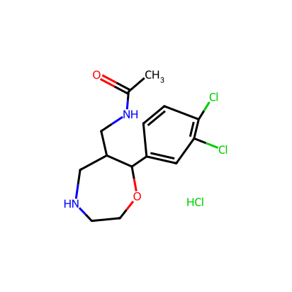 CC(=O)NCC1CNCCOC1c1ccc(Cl)c(Cl)c1.Cl